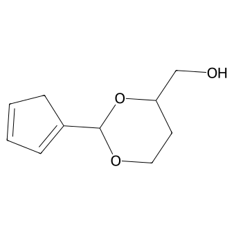 OCC1CCOC(C2=CC=CC2)O1